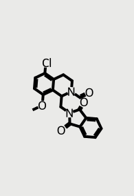 COc1ccc(Cl)c2c1C(CN1C(=O)c3ccccc3C1=O)N(C=O)CC2